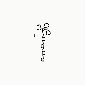 COCCOCCOCCOCCC[P+](c1ccccc1)(c1ccccc1)c1ccccc1.[I-]